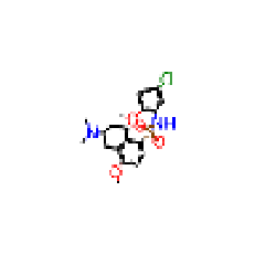 COc1ccc(Cl)cc1NS(=O)(=O)c1ccc(OC)c2c1CCC(N(C)C)C2